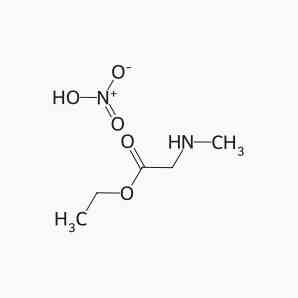 CCOC(=O)CNC.O=[N+]([O-])O